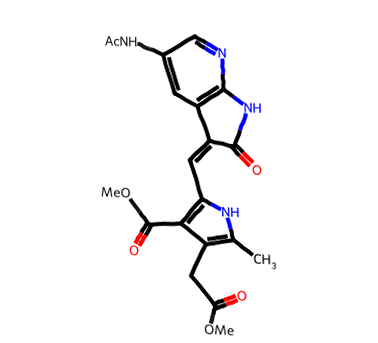 COC(=O)Cc1c(C)[nH]c(C=C2C(=O)Nc3ncc(NC(C)=O)cc32)c1C(=O)OC